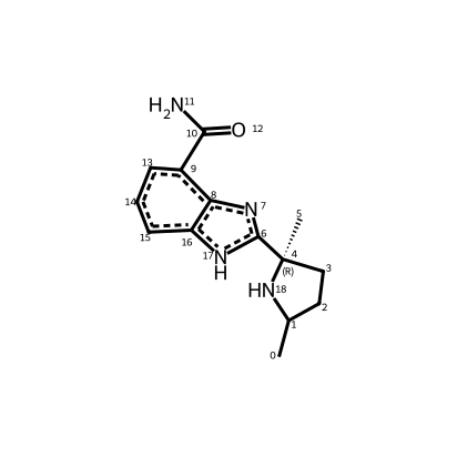 CC1CC[C@](C)(c2nc3c(C(N)=O)cccc3[nH]2)N1